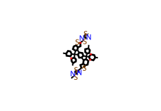 Cc1ccc(C2(c3ccc(C)cc3)c3cc4c(cc3-c3c2ccc2sc(-c5nc6scnc6s5)cc32)C(c2ccc(C)cc2)(c2ccc(C)cc2)c2ccc3sc(-c5nc6sc(C)nc6s5)cc3c2-4)cc1